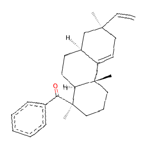 C=C[C@@]1(C)CC=C2[C@@H](CC[C@@H]3[C@](C)(C(=O)c4ccccc4)CCC[C@@]23C)C1